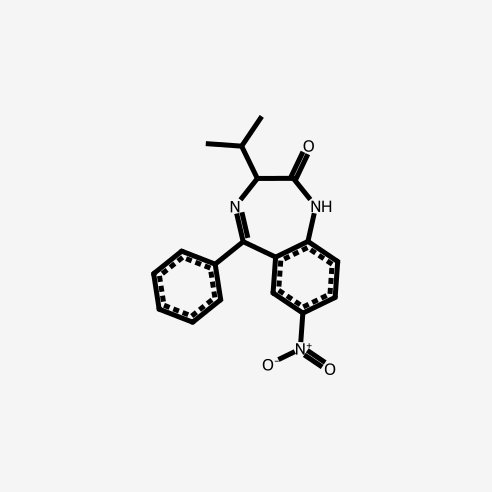 CC(C)C1N=C(c2ccccc2)c2cc([N+](=O)[O-])ccc2NC1=O